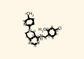 Cc1ccc(N2CCc3ncnc(NCc4ccc(Cl)cc4C)c3C2)nc1